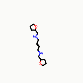 C(=CCNCC1CCCO1)CNCC1CCCO1